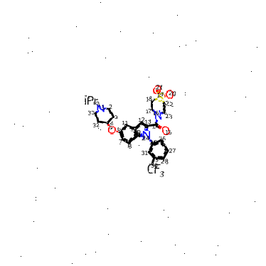 CC(C)N1CCC(Oc2ccc3c(c2)cc(C(=O)N2CCS(=O)(=O)CC2)n3-c2cccc(C(F)(F)F)c2)CC1